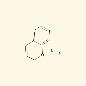 C1=Cc2ccccc2OC1.[Fe].[Li]